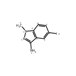 Cn1nc(N)c2cc(I)ccc21